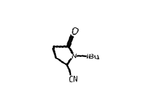 CCC(C)N1C(=O)CCC1C#N